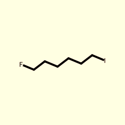 FCCCCCCI